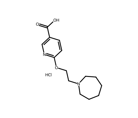 Cl.O=C(O)c1ccc(OCCN2CCCCCC2)nc1